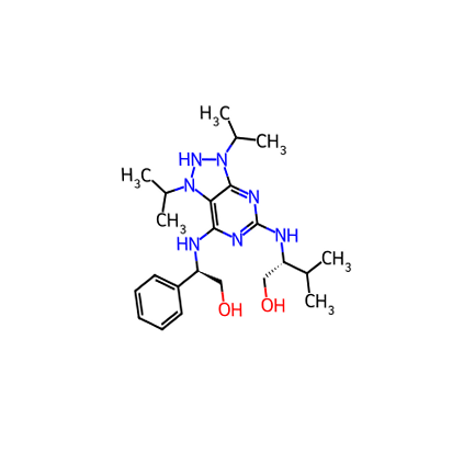 CC(C)[C@H](CO)Nc1nc(N[C@@H](CO)c2ccccc2)c2c(n1)N(C(C)C)NN2C(C)C